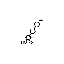 C=C[C@H]1CC[C@H]([C@H]2CC[C@H](c3ccc(O)c(OC)c3F)CC2)CC1